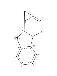 C1=C2CC2C2Nc3ccccc3C2C1